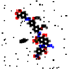 COc1cc(-c2ccc(N=Nc3c(S(=O)(=O)[O-])cc4c(N=Nc5ccc([N+](=O)[O-])cc5C(=O)[O-])c(N)ccc4c3O)c(OC)c2)ccc1N=Nc1ccc(O)c(C(=O)[O-])c1.[Na+].[Na+].[Na+]